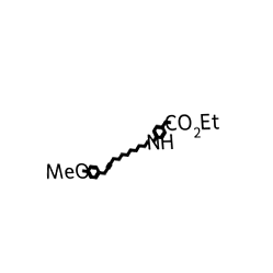 CCOC(=O)Cc1ccc(NCCCCCCCCCC#CCc2ccc(OC)cc2)cc1